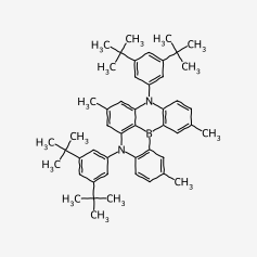 Cc1ccc2c(c1)B1c3cc(C)ccc3N(c3cc(C(C)(C)C)cc(C(C)(C)C)c3)c3cc(C)cc(c31)N2c1cc(C(C)(C)C)cc(C(C)(C)C)c1